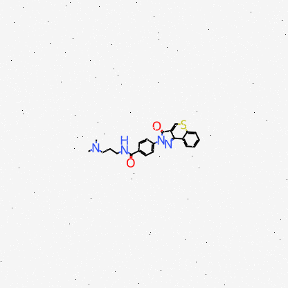 CN(C)CCCNC(=O)c1ccc(-n2nc3c4ccccc4scc-3c2=O)cc1